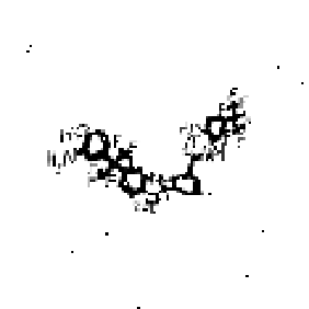 [2H]Oc1ccc(C(c2ccc(O)c(N)c2)(C(F)(F)F)C(F)(F)F)cc1NC(=O)c1cccc(C(=O)Nc2cc(C(C)(C(F)(F)F)C(F)(F)F)ccc2O)c1